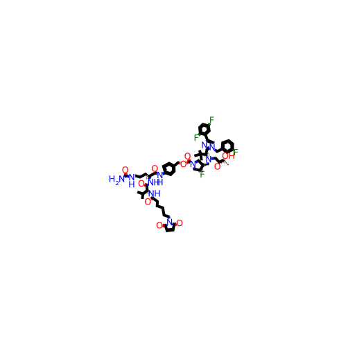 CC(C)[C@H](NC(=O)CCCCCN1C(=O)C=CC1=O)C(=O)N[C@@H](CCCNC(N)=O)C(=O)Nc1ccc(COC(=O)N2C[C@@H](CN(CC(=O)[C@@H](C)O)[C@@H](c3nc(-c4cc(F)ccc4F)cn3Cc3cccc(F)c3)C(C)(C)C)[C@@H](F)C2)cc1